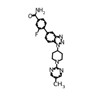 Cc1cnc(N2CCC(n3nnc4cc(-c5ccc(C(N)=O)cc5F)ccc43)CC2)nc1